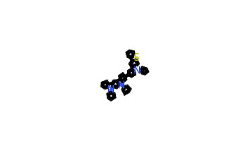 c1ccc(-n2c3ccc(-c4ccc5c6cc7c8ccccc8n(-c8ccccc8)c7cc6n(-c6ccccc6)c5c4)cc3c3cc4c(cc32)sc2ccccc24)cc1